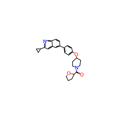 O=C(C1CCCO1)N1CCC(Oc2ccc(-c3ccc4cnc(C5CC5)cc4c3)cc2)CC1